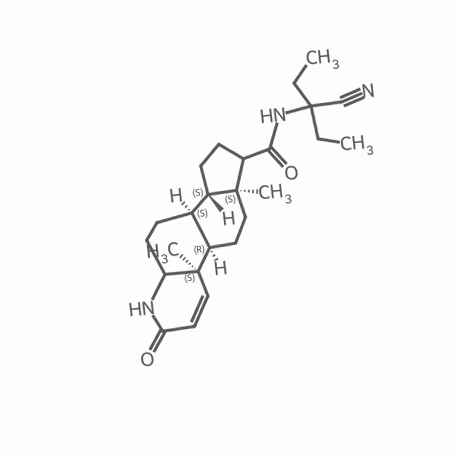 CCC(C#N)(CC)NC(=O)C1CC[C@H]2[C@@H]3CCC4NC(=O)C=C[C@]4(C)[C@@H]3CC[C@]12C